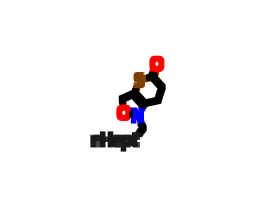 CCCCCCCCN1OCC2=C1CCC(=O)S2